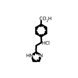 Cl.O=C(O)c1ccc(CCc2ncc[nH]2)cc1